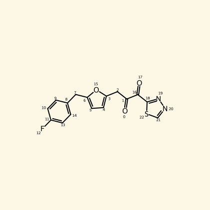 O=C(Cc1ccc(Cc2ccc(F)cc2)o1)C(=O)c1nncs1